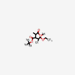 [2H]OC(=O)C(C)C(C(=O)OC([2H])([2H])[2H])C(CC)COCC(F)(F)F